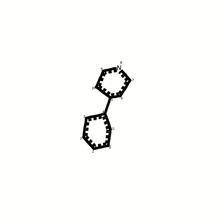 [c]1cccc(-c2ccncc2)c1